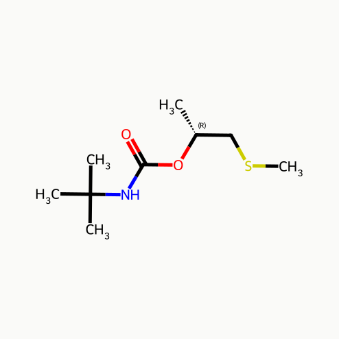 CSC[C@@H](C)OC(=O)NC(C)(C)C